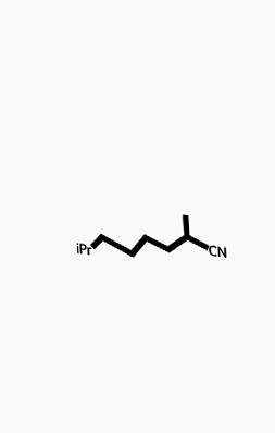 CC(C)CCCCC(C)C#N